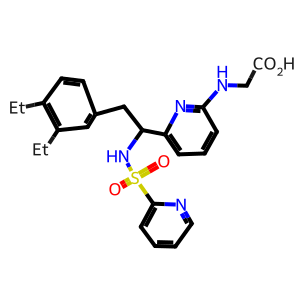 CCc1ccc(CC(NS(=O)(=O)c2ccccn2)c2cccc(NCC(=O)O)n2)cc1CC